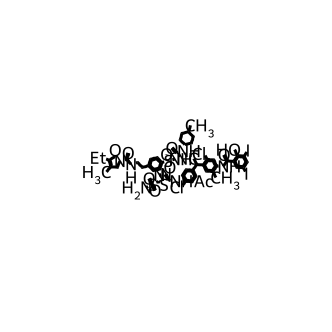 CC(=O)Nc1nnc(S(N)(=O)=O)s1.CCC1=C(C)CN(C(=O)NCCc2ccc(S(=O)(=O)NC(=O)NC3CCC(C)CC3)cc2)C1=O.Cc1cc(C(C#N)c2ccc(Cl)cc2)c(Cl)cc1NC(=O)c1cc(I)cc(I)c1O